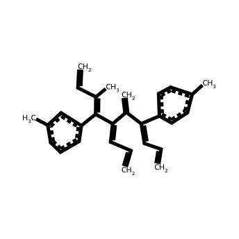 C=C/C=C(C(=C)/C(=C/C=C)c1ccc(C)cc1)/C(=C(\C)C=C)c1cccc(C)c1